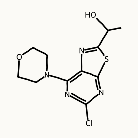 CC(O)c1nc2c(N3CCOCC3)nc(Cl)nc2s1